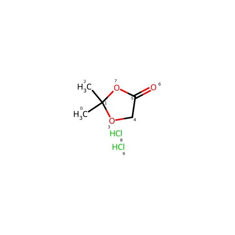 CC1(C)OCC(=O)O1.Cl.Cl